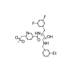 CCc1cccc(CNC[C@@H](O)[C@H](Cc2cc(F)cc(F)c2)NC(=O)c2ccc(CS(C)(=O)=O)nc2)c1